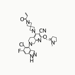 C=CC(=O)N1CC2(C1)CN(c1c(C#N)c(OC[C@@H]3CCCN3C)nc3c1CCN(c1c(Cl)c(F)cc4[nH]ncc14)C3)C2